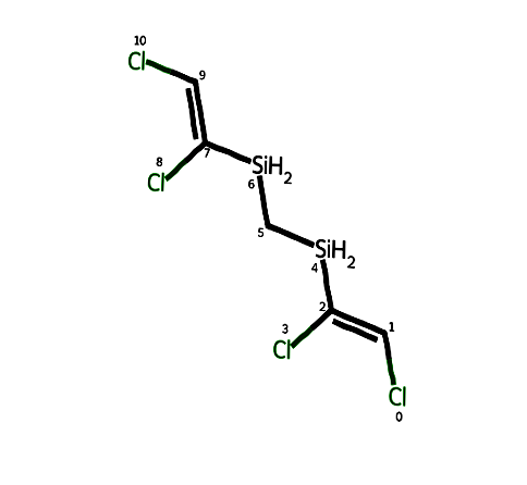 ClC=C(Cl)[SiH2]C[SiH2]C(Cl)=CCl